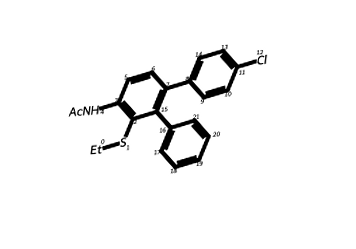 CCSc1c(NC(C)=O)ccc(-c2ccc(Cl)cc2)c1-c1ccccc1